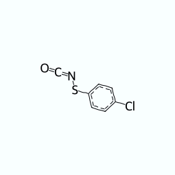 O=C=NSc1ccc(Cl)cc1